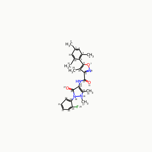 Cc1cc(C)c(-c2onc(C(=O)Nc3c(C)n(C)n(-c4ccccc4F)c3=O)c2C)c(C)c1